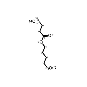 CCCCCCCCCCCCOC(=O)CCS(=O)(=O)O